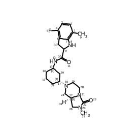 Cc1ccc(F)c2c1NC(C(=O)N[C@@H]1CCC[C@@H](N3CCN4C(=O)N(C)C[C@H]4C3)C1)C2